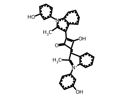 CC1=[N+](c2cccc(O)c2)c2ccccc2/C1=C1/C(=O)C(c2c(C)n(-c3cccc(O)c3)c3ccccc23)=C1O